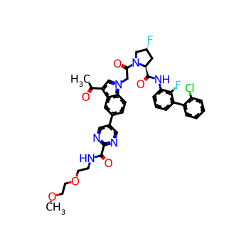 COCCOCCNC(=O)c1ncc(-c2ccc3c(c2)c(C(C)=O)cn3CC(=O)N2C[C@H](F)C[C@H]2C(=O)Nc2cccc(-c3ccccc3Cl)c2F)cn1